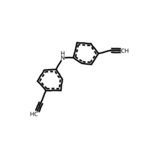 C#Cc1ccc(Nc2ccc(C#C)cc2)cc1